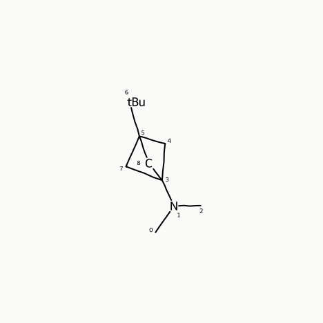 CN(C)C12CC(C(C)(C)C)(C1)C2